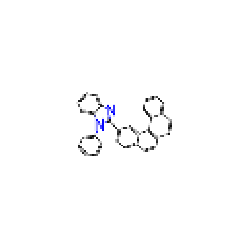 c1ccc(-n2c(-c3ccc4ccc5ccc6ccccc6c5c4c3)nc3ccccc32)cc1